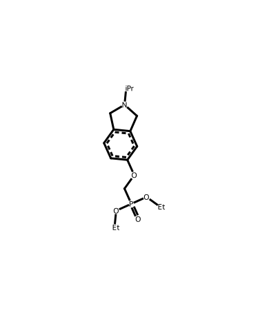 CCOP(=O)(COc1ccc2c(c1)CN(C(C)C)C2)OCC